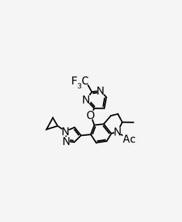 CC(=O)N1c2ccc(-c3cnn(C4CC4)c3)c(Oc3ccnc(C(F)(F)F)n3)c2CCC1C